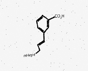 CCCCCCCCC=Cc1cccc(C(=O)O)c1